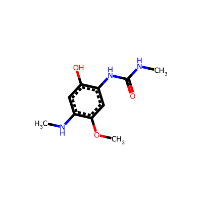 CNC(=O)Nc1cc(OC)c(NC)cc1O